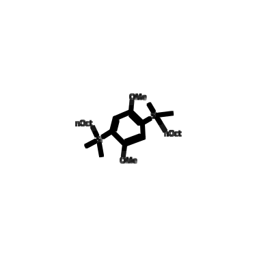 CCCCCCCC[Si](C)(C)c1cc(OC)c([Si](C)(C)CCCCCCCC)cc1OC